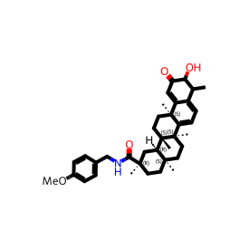 COc1ccc(CNC(=O)[C@]2(C)CC[C@]3(C)CC[C@]4(C)C5=CC=C6C(=CC(=O)C(O)C6C)[C@]5(C)CC[C@@]4(C)[C@@H]3C2)cc1